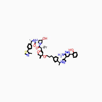 C=C1COC([C@H](C(=O)N2C[C@H](O)C[C@H]2C(=O)N[C@@H](C)c2ccc(-c3scnc3C)cc2)C(C)C)=CC1OCCCc1ccc(C(C)n2cc(-c3cc(-c4ccccc4O)nnc3N)cn2)cc1